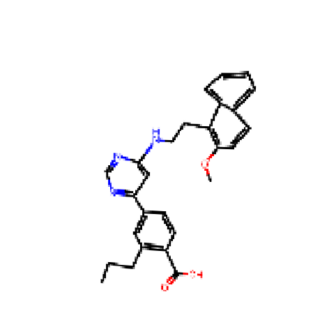 CCCc1cc(-c2cc(NCCc3c(OC)ccc4ccccc34)ncn2)ccc1C(=O)O